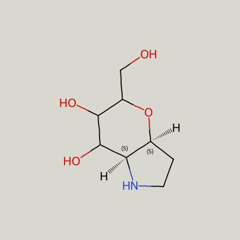 OCC1O[C@H]2CCN[C@H]2C(O)C1O